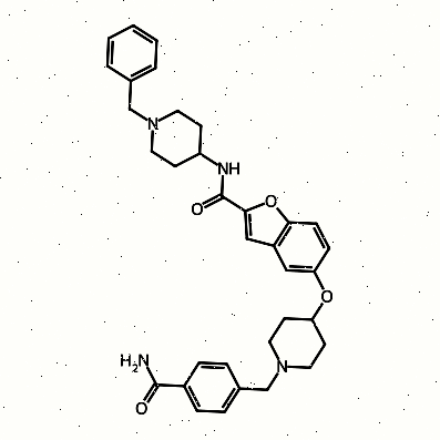 NC(=O)c1ccc(CN2CCC(Oc3ccc4oc(C(=O)NC5CCN(Cc6ccccc6)CC5)cc4c3)CC2)cc1